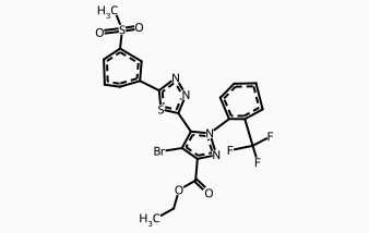 CCOC(=O)c1nn(-c2ccccc2C(F)(F)F)c(-c2nnc(-c3cccc(S(C)(=O)=O)c3)s2)c1Br